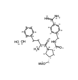 COC[C@H]1C[C@@H](C(=O)NCc2ccc(C(=N)N)cc2)N(C(=O)C(N)CCc2ccccc2)C1.Cl.Cl